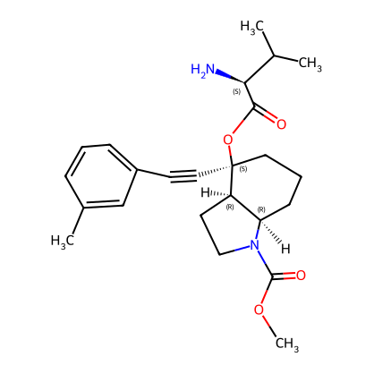 COC(=O)N1CC[C@@H]2[C@H]1CCC[C@]2(C#Cc1cccc(C)c1)OC(=O)[C@@H](N)C(C)C